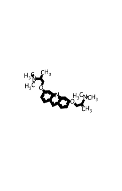 CC(COc1ccc2cc3ccc(OCC(C)N(C)C)cc3nc2c1)N(C)C